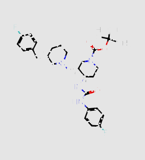 CC(C)(C)OC(=O)N1CC[C@@H](NC(=O)Nc2ccc(F)cc2)[C@H](CN2CCC[C@@H](Cc3ccc(F)cc3)C2)C1